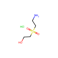 Cl.NCCS(=O)(=O)CCO